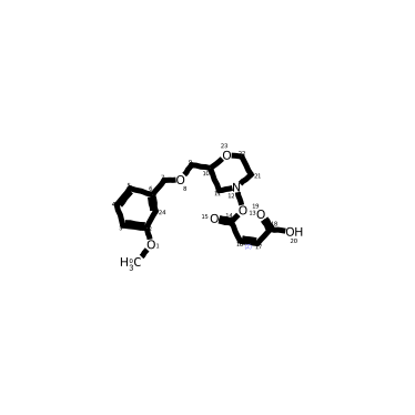 COc1cccc(COCC2CN(OC(=O)/C=C\C(=O)O)CCO2)c1